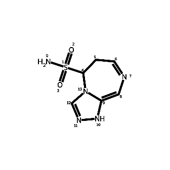 NS(=O)(=O)C1CC=NC=C2NN=CN21